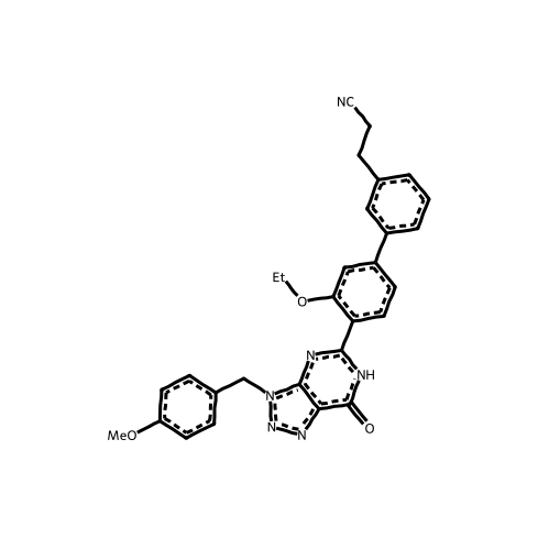 CCOc1cc(-c2cccc(CCC#N)c2)ccc1-c1nc2c(nnn2Cc2ccc(OC)cc2)c(=O)[nH]1